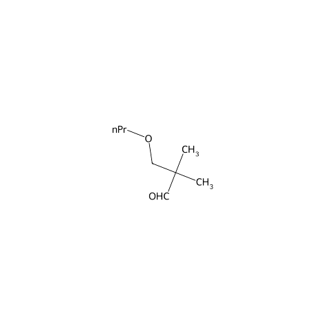 CCCOCC(C)(C)C=O